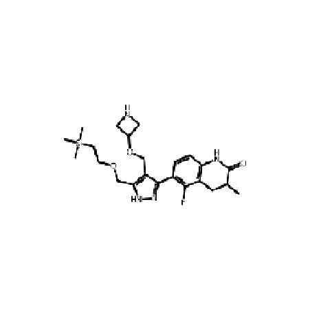 CC1Cc2c(ccc(-c3n[nH]c(COCC[Si](C)(C)C)c3COC3CNC3)c2F)NC1=O